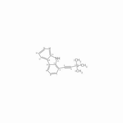 C[Si](C)(C)C#Cc1cccc2c1[nH]c1ccccc12